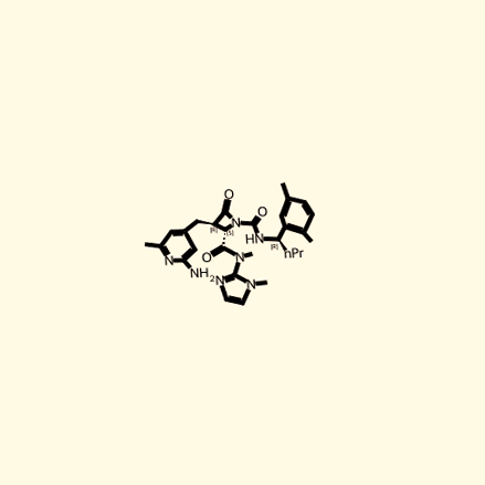 CCC[C@@H](NC(=O)N1C(=O)[C@H](Cc2cc(C)nc(N)c2)[C@H]1C(=O)N(C)c1nccn1C)c1cc(C)ccc1C